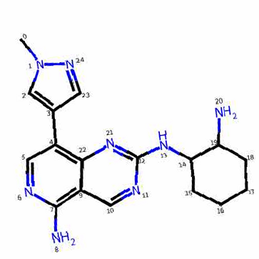 Cn1cc(-c2cnc(N)c3cnc(NC4CCCCC4N)nc23)cn1